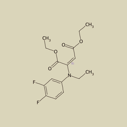 CCOC(=O)/C=C(\C(=O)OCC)N(CC)c1ccc(F)c(F)c1